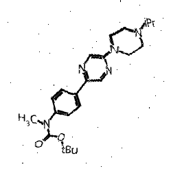 CC(C)N1CCN(c2cnc(-c3ccc(N(C)C(=O)OC(C)(C)C)cc3)cn2)CC1